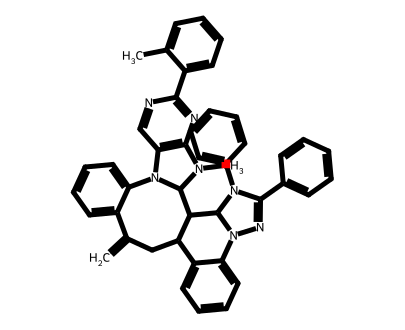 C=C1CC2c3ccccc3N3N=C(c4ccccc4)N(c4ccccc4)C3C2C2N(C)c3nc(-c4ccccc4C)ncc3N2c2ccccc21